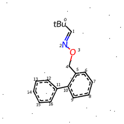 CC(C)(C)C=NOCc1ccccc1-c1ccccc1